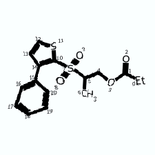 CCC(=O)OCC(C)S(=O)(=O)c1sccc1-c1ccccc1